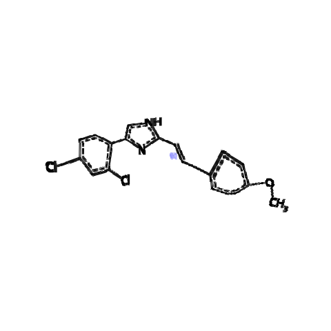 COc1ccc(/C=C/c2nc(-c3ccc(Cl)cc3Cl)c[nH]2)cc1